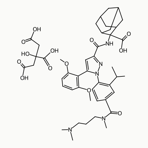 COc1cccc(OC)c1-c1cc(C(=O)NC2(C(=O)O)C3CC4CC(C3)CC2C4)nn1-c1ccc(C(=O)N(C)CCCN(C)C)cc1C(C)C.O=C(O)CC(O)(CC(=O)O)C(=O)O